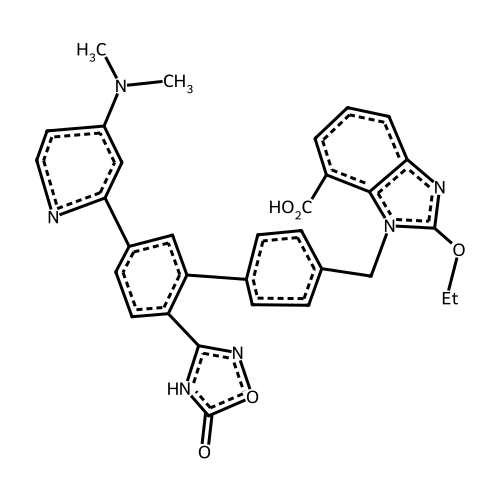 CCOc1nc2cccc(C(=O)O)c2n1Cc1ccc(-c2cc(-c3cc(N(C)C)ccn3)ccc2-c2noc(=O)[nH]2)cc1